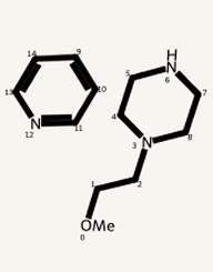 COCCN1CCNCC1.c1ccncc1